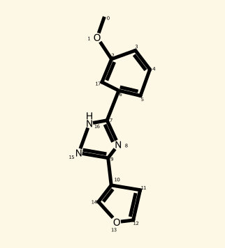 COc1cccc(-c2nc(-c3ccoc3)n[nH]2)c1